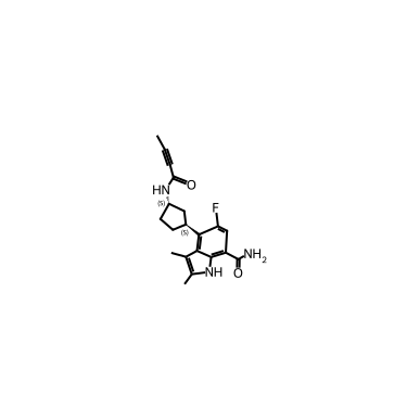 CC#CC(=O)N[C@H]1CC[C@H](c2c(F)cc(C(N)=O)c3[nH]c(C)c(C)c23)C1